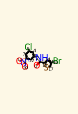 O=C(Nc1cc(Cl)cc([N+](=O)[O-])c1)c1cc(Br)cs1